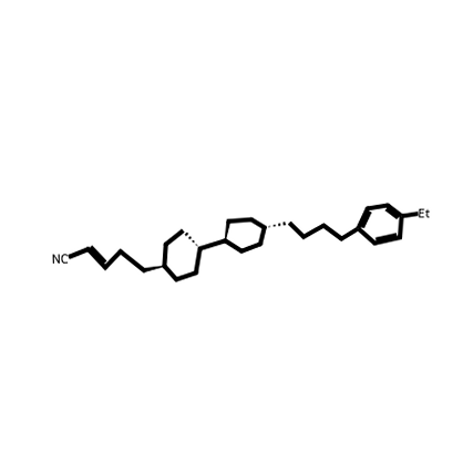 CCc1ccc(CCCC[C@H]2CC[C@H]([C@H]3CC[C@H](CCC=CC#N)CC3)CC2)cc1